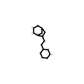 C1CCC(CCC2CC3CCCC2C3)CC1